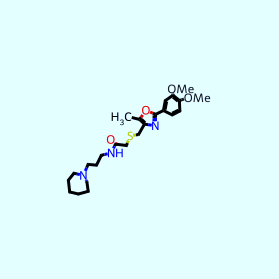 COc1ccc(-c2nc(CSCC(=O)NCCCN3CCCCCC3)c(C)o2)cc1OC